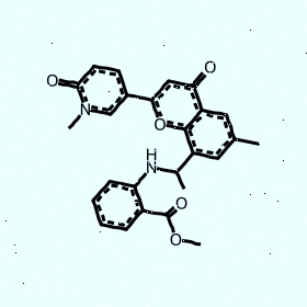 COC(=O)c1ccccc1NC(C)c1cc(C)cc2c(=O)cc(-c3ccc(=O)n(C)c3)oc12